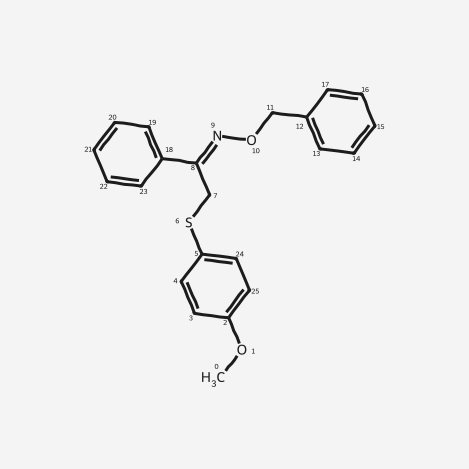 COc1ccc(SC/C(=N\OCc2ccccc2)c2ccccc2)cc1